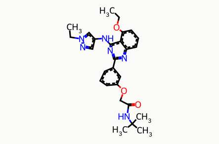 CCOc1cccc2nc(-c3cccc(OCC(=O)NC(C)(C)C)c3)nc(Nc3cnn(CC)c3)c12